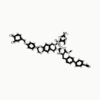 COC(=O)C(Cc1ccc(-c2ccc(C#N)cc2)cc1)NC(=O)[C@@H]1Cc2cc3c(cc2CN1S(=O)(=O)c1sc(N)nc1C)O[C@H](c1ccc(OCc2ccc(Cl)c(Cl)c2)cc1)CO3